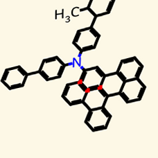 CC1C=CC=CC1c1ccc(N(c2ccc(-c3ccccc3)cc2)c2cccc(-c3cccc4cccc(-c5cc6ccccc6c6ccccc56)c34)c2)cc1